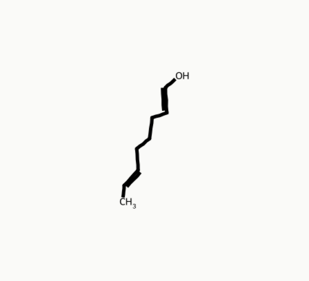 CC=CCCCC=CO